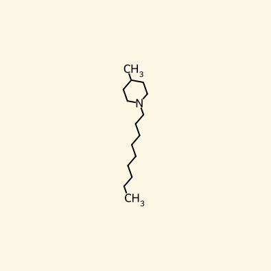 CCCCCCCCCN1CCC(C)CC1